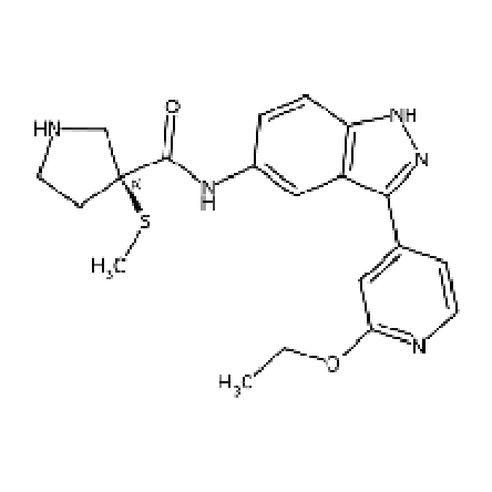 CCOc1cc(-c2n[nH]c3ccc(NC(=O)[C@]4(SC)CCNC4)cc23)ccn1